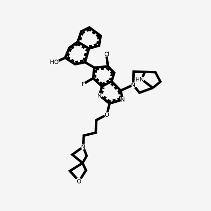 Oc1cc(-c2c(Cl)cc3c(N4CC5CCC(C4)N5)nc(OCCCN4CC5(COC5)C4)nc3c2F)c2ccccc2c1